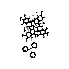 Fc1c(F)c(F)c2c(F)c([B-](c3c(F)c(F)c4c(F)c(F)c(F)c(F)c4c3F)(c3c(F)c(F)c4c(F)c(F)c(F)c(F)c4c3F)c3c(F)c(F)c4c(F)c(F)c(F)c(F)c4c3F)c(F)c(F)c2c1F.c1ccc([C+](c2ccccc2)c2ccccc2)cc1